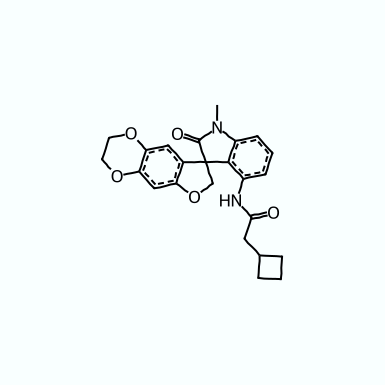 CN1C(=O)C2(COc3cc4c(cc32)OCCO4)c2c(NC(=O)CC3CCC3)cccc21